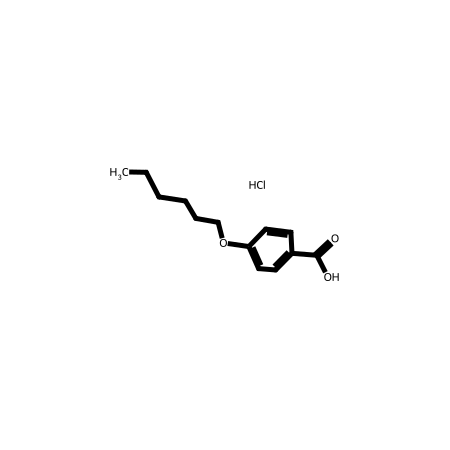 CCCCCCOc1ccc(C(=O)O)cc1.Cl